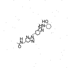 CC(=O)NCc1cnc2c(c1)ncn2Cc1ccc2nc(N[C@@H]3CCCC[C@H]3O)sc2c1